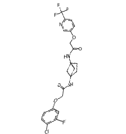 O=C(COc1ccc(C(F)(F)F)nc1)NC12CCC(NC(=O)COc3ccc(Cl)c(F)c3)(C1)C2